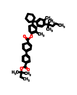 CCCC(C)(C)c1ccc(C2(c3ccc(OC(=O)c4ccc(-c5ccc(C(=O)OC(C)(C)CC)cc5)cc4)c(C)c3)CCCCC2)cc1C